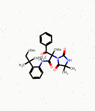 CCCCCCCCCCCC(C)(C)c1ccccc1N(C(=O)O)C(=O)C(OC)(C(=O)c1ccccc1)N1C(=O)NC(C)(C)C1=O